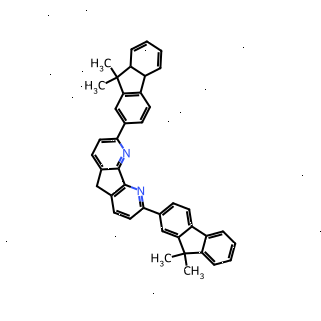 CC1(C)c2ccccc2-c2ccc(-c3ccc4c(n3)-c3nc(-c5ccc6c(c5)C(C)(C)C5C=CC=CC65)ccc3C4)cc21